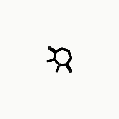 CN1C(=O)CCCC(=O)N1C